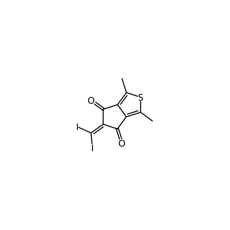 Cc1sc(C)c2c1C(=O)C(=C(I)I)C2=O